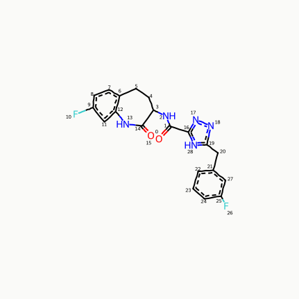 O=C(NC1CCc2ccc(F)cc2NC1=O)c1nnc(Cc2cccc(F)c2)[nH]1